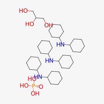 C1CCC(NC2CCCCC2)CC1.C1CCC(NC2CCCCC2)CC1.C1CCC(NC2CCCCC2)CC1.O=P(O)(O)O.OCC(O)CO